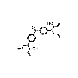 C=CCN(c1ccc(C(=O)c2ccc(N(CC=C)C(O)C=C)cc2)cc1)C(O)C=C